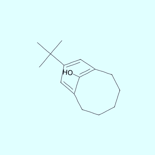 CC(C)(C)c1cc2c(O)c(c1)CCCCC2